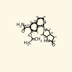 CC(C)Oc1cc2c(N3CC4CC(=O)NC4C3)nccc2cc1C(N)=O